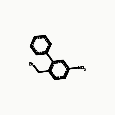 O=[N+]([O-])c1ccc(CBr)c(-c2ccccc2)c1